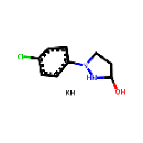 OC1CCN(c2ccc(Cl)cc2)N1.[KH]